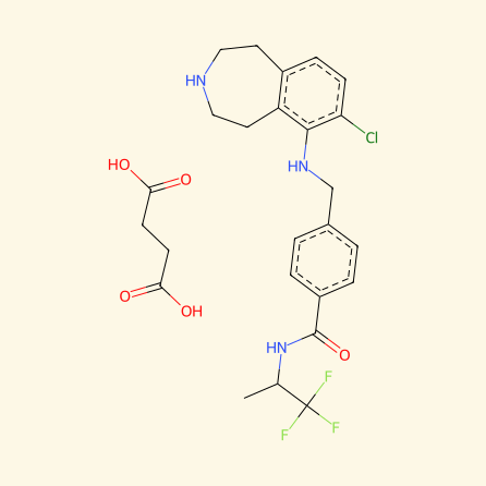 CC(NC(=O)c1ccc(CNc2c(Cl)ccc3c2CCNCC3)cc1)C(F)(F)F.O=C(O)CCC(=O)O